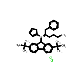 CCCC/[C](Cc1ccccc1)=[Zr+2](/[C]1=CC=CC1)[CH]1c2cc(C(C)(C)C)ccc2-c2ccc(C(C)(C)C)cc21.[Cl-].[Cl-]